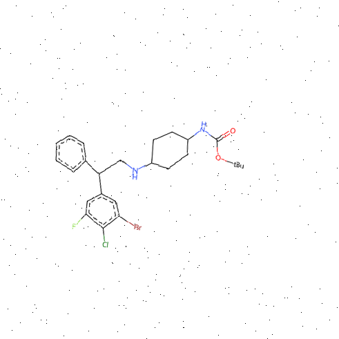 CC(C)(C)OC(=O)NC1CCC(NCC(c2ccccc2)c2cc(F)c(Cl)c(Br)c2)CC1